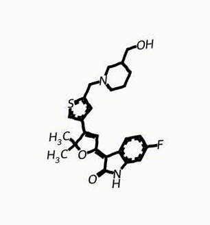 CC1(C)OC(=C2C(=O)Nc3cc(F)ccc32)C=C1c1csc(CN2CCCC(CO)C2)c1